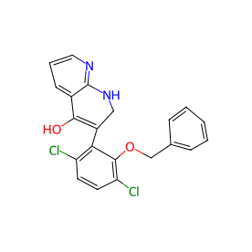 OC1=C(c2c(Cl)ccc(Cl)c2OCc2ccccc2)CNc2ncccc21